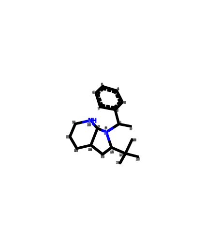 CC(c1ccccc1)N1C2NCCCC2CC1C(C)(C)C